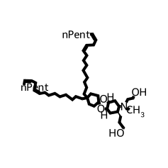 CCCCC/C=C\C/C=C\CCCCCCCCC1(CCCCCCCC/C=C\C/C=C\CCCCC)CCC2(CC1)O[C@H]1CC(N(C)CCO)[C@@H](CCCO)C[C@H]1O2